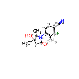 Cc1c(N2C(=O)C[C@](C)(O)[C@@H]2C)ccc(C#N)c1F